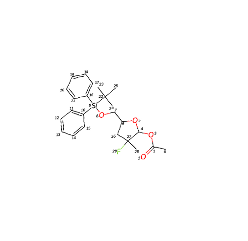 CC(=O)OC1OC(CO[Si](c2ccccc2)(c2ccccc2)C(C)(C)C)CC1(C)F